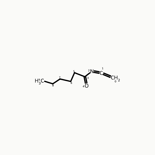 C=C=NC(=O)CCCCC